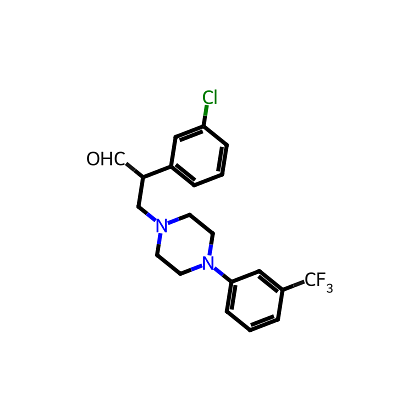 O=CC(CN1CCN(c2cccc(C(F)(F)F)c2)CC1)c1cccc(Cl)c1